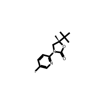 CC(C)(C)[C@@]1(C)CN(c2ccc(I)cn2)C(=O)O1